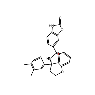 Cc1ccc([C@@]2(NC(=O)c3ccc4[nH]c(=O)oc4c3)CCOc3cccnc32)cc1F